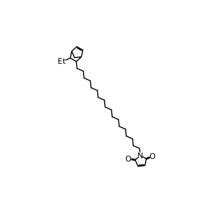 CCC1C2C=CC(C2)C1CCCCCCCCCCCCCCCCCCN1C(=O)C=CC1=O